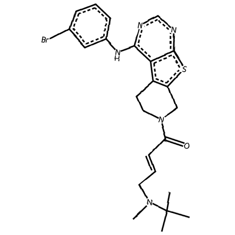 CN(C/C=C/C(=O)N1CCc2c(sc3ncnc(Nc4cccc(Br)c4)c23)C1)C(C)(C)C